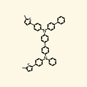 Cc1ccc(-c2ccc(N(c3ccccc3)c3ccc(-c4ccc(N(c5ccc(-c6ccccc6)cc5)c5ccc(-c6ccc(C)s6)cc5)cc4)cc3)cc2)s1